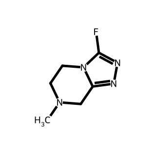 CN1CCn2c(F)nnc2C1